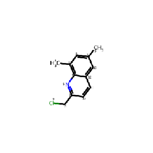 Cc1cc(C)c2nc(CCl)ccc2c1